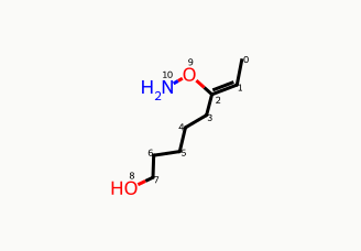 CC=C(CCCCCO)ON